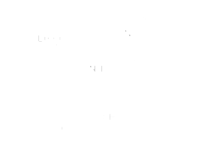 CCOC(=O)/C(=C/N(C)C)NC=C(C)C